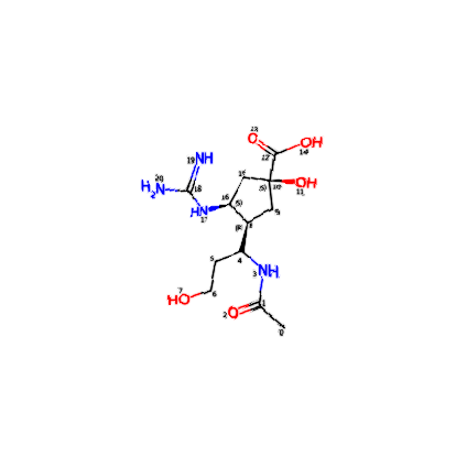 CC(=O)NC(CCO)[C@@H]1C[C@@](O)(C(=O)O)C[C@@H]1NC(=N)N